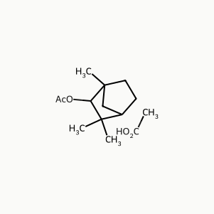 CC(=O)O.CC(=O)OC1C2(C)CCC(C2)C1(C)C